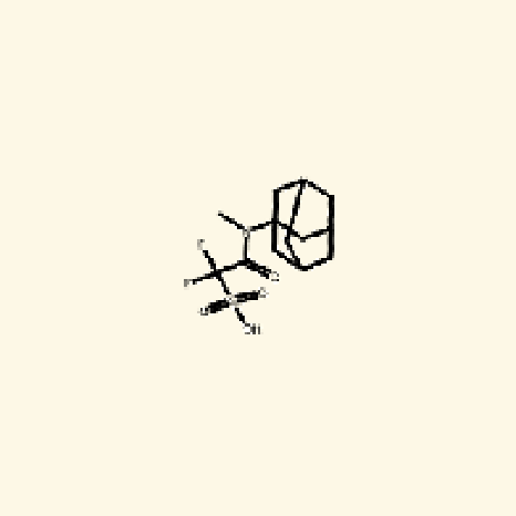 CN(C(=O)C(F)(F)S(=O)(=O)O)C12CC3CC(CC(C3)C1)C2